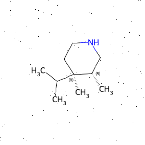 CC(C)[C@@]1(C)CCNC[C@@H]1C